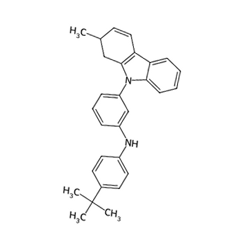 CC1C=Cc2c(n(-c3cccc(Nc4ccc(C(C)(C)C)cc4)c3)c3ccccc23)C1